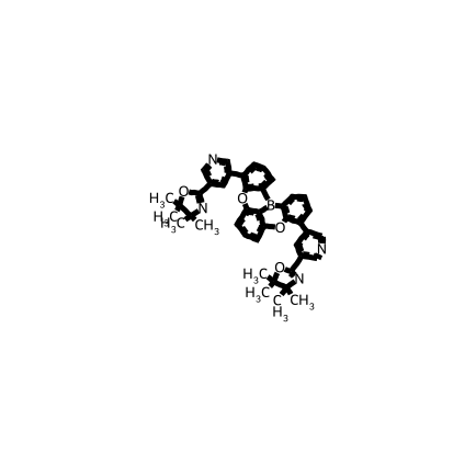 CC1(C)N=C(c2cncc(-c3cccc4c3Oc3cccc5c3B4c3cccc(-c4cncc(C6=NC(C)(C)C(C)(C)O6)c4)c3O5)c2)OC1(C)C